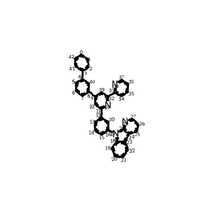 c1ccc(-c2cccc(-c3cc(-c4cccc(-n5c6ccccc6c6cccnc65)c4)nc(-c4ccccn4)c3)c2)cc1